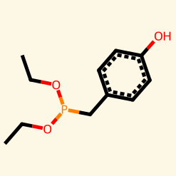 CCOP(Cc1ccc(O)cc1)OCC